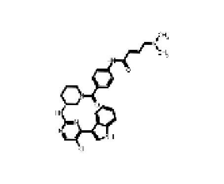 CN(C)C/C=C/C(=O)Nc1ccc(C(=O)N2CCC[C@H](Nc3ncc(Cl)c(-c4c[nH]c5ccccc45)n3)C2)cc1